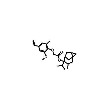 C=Cc1cc(I)c(OCC(=O)OC2(C(C)C)C(C)CC34CC3CC2C4)c(OC)c1